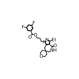 CCc1nn(CCCOC(=O)c2cc(F)cc(F)c2)c2c1C(=O)NCC1(CCOCC1)C2